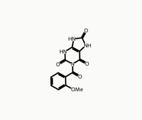 COc1ccccc1C(=O)n1c(=O)[nH]c2[nH]c(=O)[nH]c2c1=O